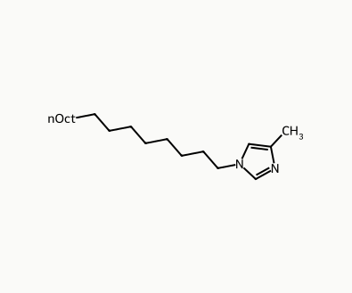 CCCCCCCCCCCCCCCCn1cnc(C)c1